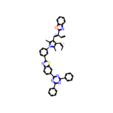 C=C/C(=C\c1c(/C=C\C)c(C)n(-c2cccc(-c3nc4ccc(-c5nc(-c6ccccc6)nc(-c6ccccc6)n5)cc4s3)c2)c1C)c1nc2ccccc2o1